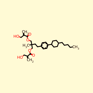 C=C(CO)C(=O)OCC(C)(CCc1ccc(C2CCC(CCCCC)CC2)cc1)COC(=O)C(=C)CO